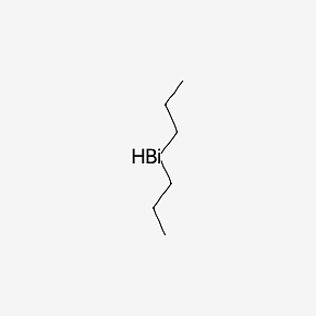 CC[CH2][BiH][CH2]CC